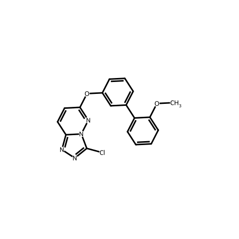 COc1ccccc1-c1cccc(Oc2ccc3nnc(Cl)n3n2)c1